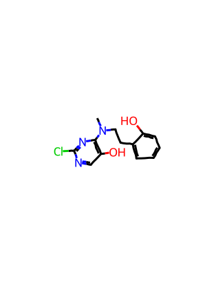 CN(CCc1ccccc1O)c1nc(Cl)ncc1O